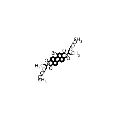 CCC(COCOCOC)N1C(=O)c2ccc3c4ccc5c6c(cc(Br)c(c7ccc(c2c37)C1=O)c64)C(=O)N(C(CC)COCOCOC)C5=O